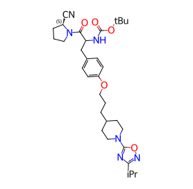 CC(C)c1noc(N2CCC(CCCOc3ccc(CC(NC(=O)OC(C)(C)C)C(=O)N4CCC[C@H]4C#N)cc3)CC2)n1